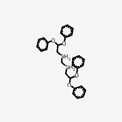 c1ccc(OC(C[SiH2]C[SiH2]CC(Oc2ccccc2)Oc2ccccc2)Oc2ccccc2)cc1